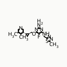 Cc1nnc(CNc2nc(N)nc(OC[C@H]3C[C@@H]3c3cncc(C)c3C)c2F)s1